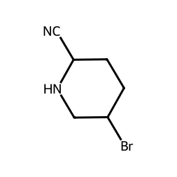 N#CC1CCC(Br)CN1